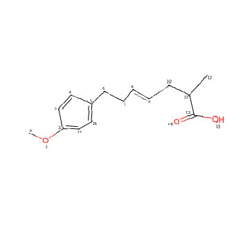 COc1ccc(CCC=CCC(C)C(=O)O)cc1